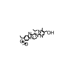 CCc1cc2nc3n(c2cc1S(C)(=O)=O)CCN(c1ncc(CO)c(C)n1)[C@H]3C(C)C